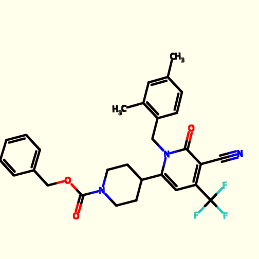 Cc1ccc(Cn2c(C3CCN(C(=O)OCc4ccccc4)CC3)cc(C(F)(F)F)c(C#N)c2=O)c(C)c1